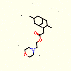 CC1CC2CC(C)C(CC(=O)OCCN3CCOCC3)C(C1)C2